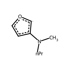 CCCN(C)c1[c]occ1